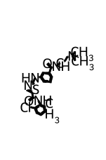 Cc1cccc(Cl)c1NC(=O)c1cnc(Nc2cccc(C(=O)NCCCN(C)C)c2)s1